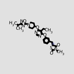 CCc1c(Oc2cccc(/C=C3\SC(=O)N(C)C3=O)c2)ncnc1OC1CCN(c2nc(C(C)C)no2)CC1